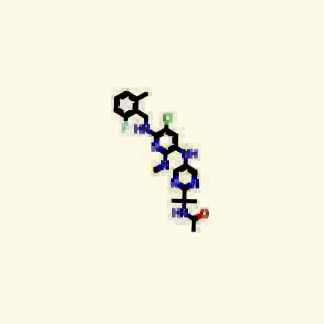 C=Nc1nc(NCc2c(C)cccc2F)c(Cl)cc1Nc1cnc(C(C)(C)NC(C)=O)nc1